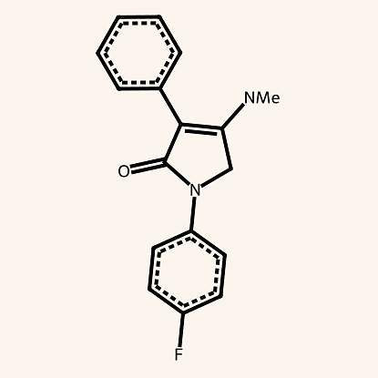 CNC1=C(c2ccccc2)C(=O)N(c2ccc(F)cc2)C1